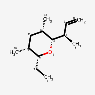 C=C[C@@H](C)[C@@H]1O[C@H](CC)[C@H](C)C[C@@H]1C